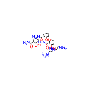 NC(=O)c1ccccc1O.NC(=O)c1ccccc1O.NC(=O)c1ccccc1O.NCCNCCN